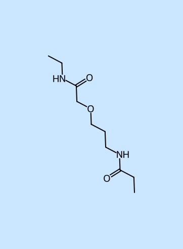 CCNC(=O)COCCCNC(=O)CC